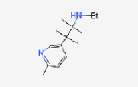 CCNC(C)(C)C(C)(C)c1ccc(C)nc1